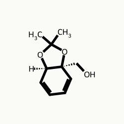 CC1(C)O[C@@H]2C=CC=C[C@]2(CO)O1